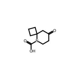 O=C1CCN(C(=O)O)C2(CCC2)C1